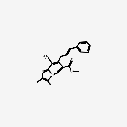 COC(=O)c1cn2c(C)c(C)nc2c(N)c1CC=Cc1ccccc1